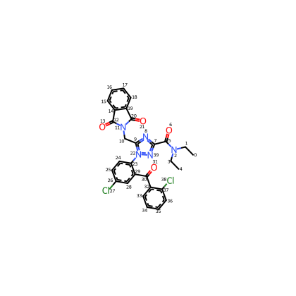 CCN(CC)C(=O)c1nc(CN2C(=O)c3ccccc3C2=O)n(-c2ccc(Cl)cc2C(=O)c2ccccc2Cl)n1